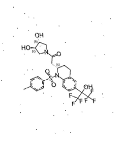 Cc1ccc(S(=O)(=O)N2c3ccc(C(O)(C(F)(F)F)C(F)(F)F)cc3CC[C@H]2CC(=O)N2C[C@@H](O)[C@H](O)C2)cc1